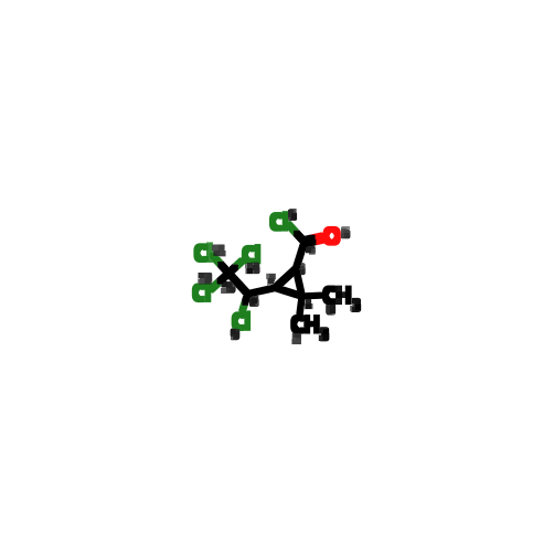 CC1(C)C(C(=O)Cl)C1C(Cl)C(Cl)(Cl)Cl